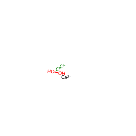 OO.[Ca+2].[Cl-].[Cl-]